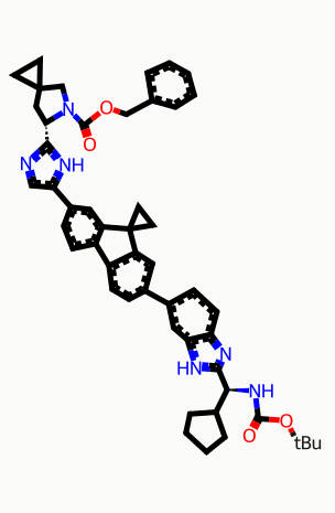 CC(C)(C)OC(=O)N[C@H](c1nc2ccc(-c3ccc4c(c3)C3(CC3)c3cc(-c5cnc([C@@H]6CC7(CC7)CN6C(=O)OCc6ccccc6)[nH]5)ccc3-4)cc2[nH]1)C1CCCC1